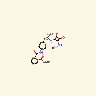 CCCNc1c(N[C@@H](Cc2ccc(NC(=O)c3ccccc3C(=O)OC)cc2)C(=O)O)c(=O)c1=O